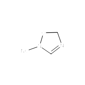 N#CN1C=N[CH]O1